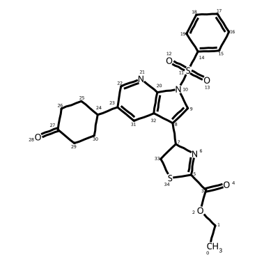 CCOC(=O)C1=NC(c2cn(S(=O)(=O)c3ccccc3)c3ncc(C4CCC(=O)CC4)cc23)CS1